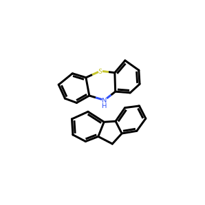 c1ccc2c(c1)Cc1ccccc1-2.c1ccc2c(c1)Nc1ccccc1S2